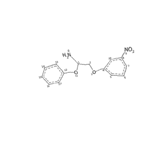 NC(COc1cccc([N+](=O)[O-])c1)Oc1ccccc1